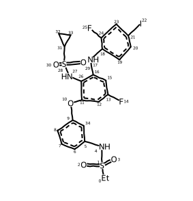 CCS(=O)(=O)Nc1cccc(Oc2cc(F)cc(Nc3ccc(I)cc3F)c2NS(=O)(=O)C2CC2)c1